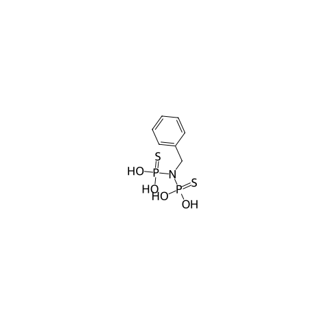 OP(O)(=S)N(Cc1ccccc1)P(O)(O)=S